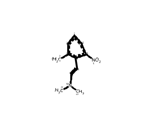 [CH2]c1cccc([N+](=O)[O-])c1/C=C/N(C)C